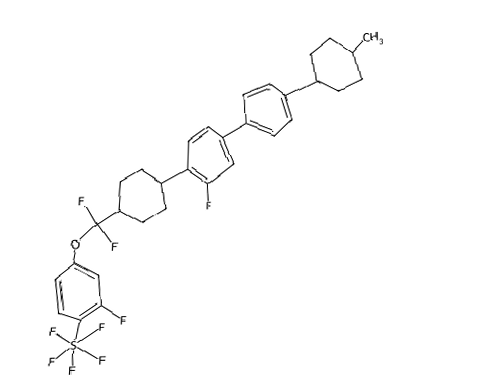 CC1CCC(c2ccc(-c3ccc(C4CCC(C(F)(F)Oc5ccc(S(F)(F)(F)(F)F)c(F)c5)CC4)c(F)c3)cc2)CC1